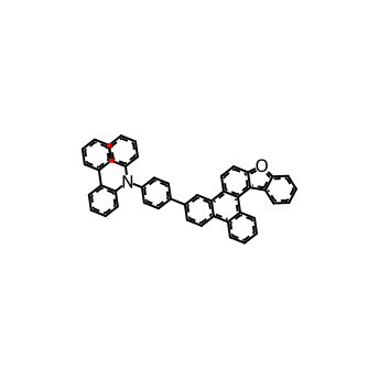 c1ccc(-c2ccccc2N(c2ccccc2)c2ccc(-c3ccc4c5ccccc5c5c(ccc6oc7ccccc7c65)c4c3)cc2)cc1